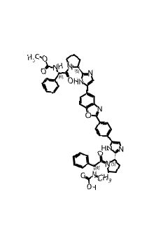 COC(=O)N[C@@H](C(=O)N1CCC[C@H]1c1ncc(-c2ccc3oc(-c4ccc(-c5cnc([C@@H]6CCCN6C(=O)[C@@H](c6ccccc6)N(C)C(=O)O)[nH]5)cc4)nc3c2)[nH]1)c1ccccc1